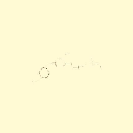 CC(C)(CN)COC(C)(C)CNC(=O)[C@H](CCC(=O)O)NC(=O)Cc1ccc(CN)cc1